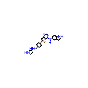 c1nc(Nc2ccc3[nH]ccc3c2)c2sc(-c3ccc(CNC4CCNC4)cc3)cc2n1